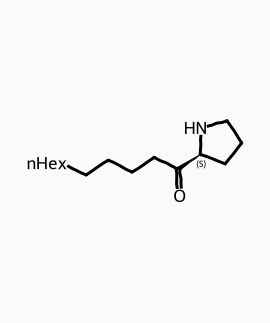 CCC[CH]CCCCCCC(=O)[C@@H]1CCCN1